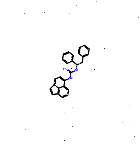 N=C(Nc1ccc2c3c(cccc13)C=C2)NC(Cc1ccccc1)c1ccccc1